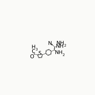 CC(=O)c1ccc(-c2ccc(/C(N)=C(\C#N)NN)cc2)s1